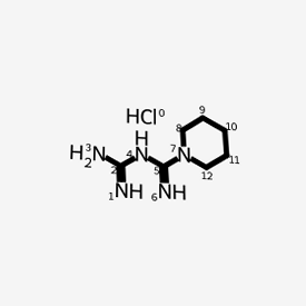 Cl.N=C(N)NC(=N)N1CCCCC1